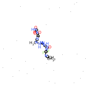 CN(CCNc1cc(N2CCC3(CC2)CN(c2cc(F)c(CN4CCC(C)(C)CC4)cc2F)CC(=O)N3)ncn1)C1CCN(c2ccc3c(c2)C(=O)N(C2CCC(=O)NC2=O)C3=O)CC1